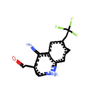 N=c1c(C=O)c[nH]c2ccc(C(F)(F)F)cc12